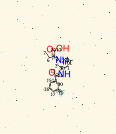 CC(C)C[C@H](CN[C@H]1CCOC1O)NC(=O)c1cccc(F)c1